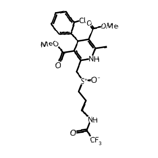 COC(=O)C1=C(C)NC(C[S+]([O-])CCCNC(=O)C(F)(F)F)=C(C(=O)OC)C1c1ccccc1Cl